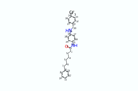 O=C(CCCCCCc1ccccc1)Nc1ccc(NCc2ccc(C(F)(F)F)cc2)cc1